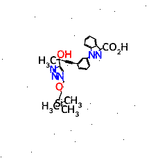 CC(O)(C#Cc1cccc(-n2nc(C(=O)O)c3ccccc32)c1)c1cn(COCC[Si](C)(C)C)nn1